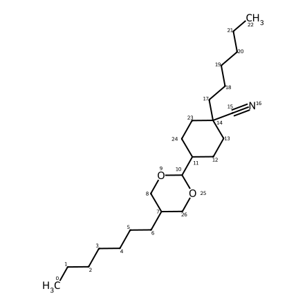 CCCCCCCC1COC(C2CCC(C#N)(CCCCCC)CC2)OC1